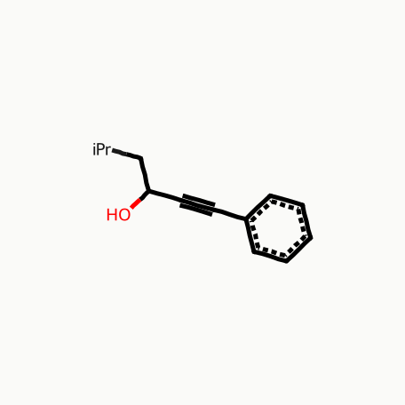 CC(C)CC(O)C#Cc1ccccc1